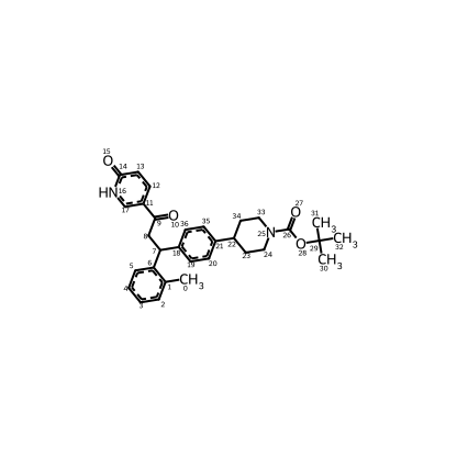 Cc1ccccc1C(CC(=O)c1ccc(=O)[nH]c1)c1ccc(C2CCN(C(=O)OC(C)(C)C)CC2)cc1